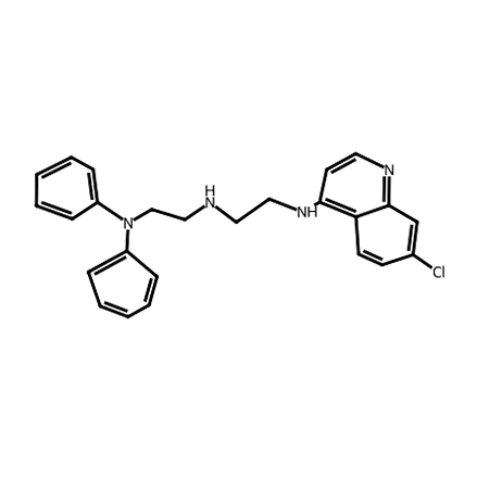 Clc1ccc2c(NCCNCCN(c3ccccc3)c3ccccc3)ccnc2c1